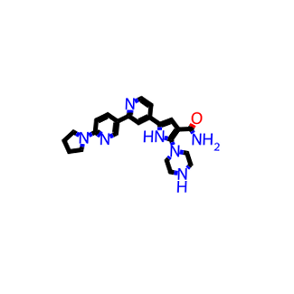 NC(=O)c1cc(-c2ccnc(-c3ccc(N4CCCC4)nc3)c2)[nH]c1N1CCNCC1